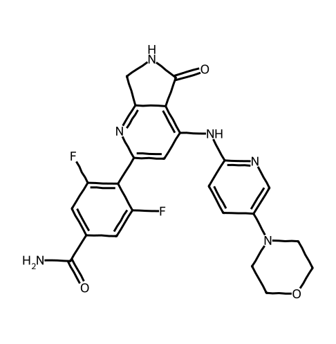 NC(=O)c1cc(F)c(-c2cc(Nc3ccc(N4CCOCC4)cn3)c3c(n2)CNC3=O)c(F)c1